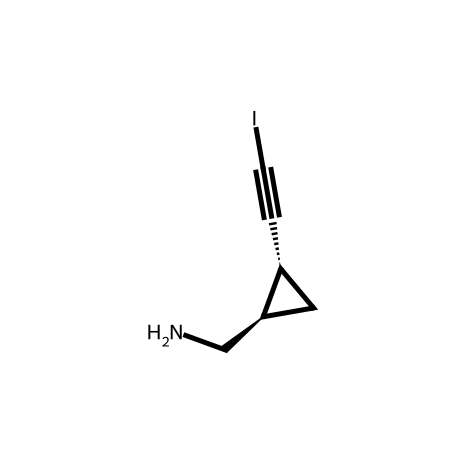 NC[C@@H]1C[C@H]1C#CI